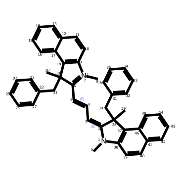 CN1/C(=C/C=C/C2=[N+](C)c3ccc4ccccc4c3C2(C)Cc2ccccc2)C(C)(Cc2ccccc2)c2c1ccc1ccccc21